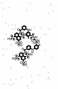 Cc1ccc(Nc2cccc(C(=O)Nc3ccc(S(=O)(=O)O)c4cc(S(=O)(=O)O)cc(S(=O)(=O)O)c34)c2)cc1S(=O)(=O)NC(=O)NS(=O)(=O)c1cc(Nc2cccc(C(=O)Nc3ccc(S(=O)(=O)O)c4cc(S(=O)(=O)O)cc(S(=O)(=O)O)c34)c2)ccc1C